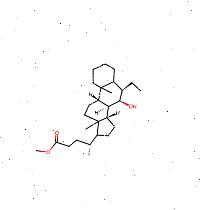 CC[C@@H]1C2CCCCC2(C)[C@H]2CCC3(C)C([C@H](C)CCC(=O)OC)CC[C@H]3[C@@H]2[C@@H]1O